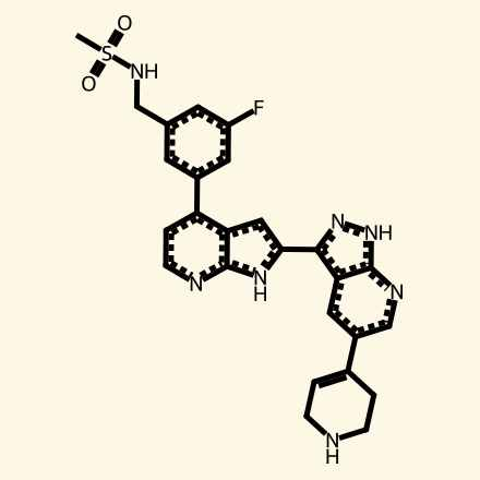 CS(=O)(=O)NCc1cc(F)cc(-c2ccnc3[nH]c(-c4n[nH]c5ncc(C6=CCNCC6)cc45)cc23)c1